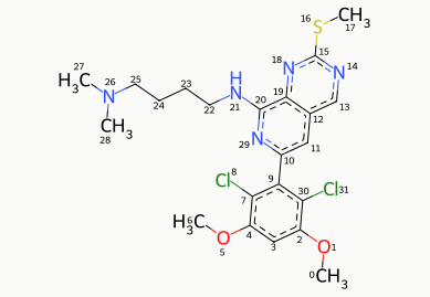 COc1cc(OC)c(Cl)c(-c2cc3cnc(SC)nc3c(NCCCCN(C)C)n2)c1Cl